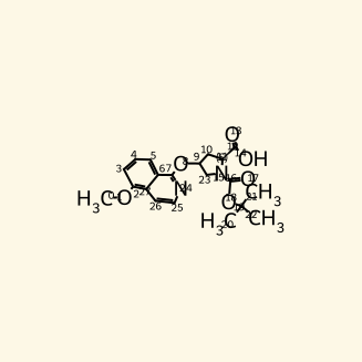 COc1cccc2c(OC3C[C@@H](C(=O)O)N(C(=O)OC(C)(C)C)C3)nccc12